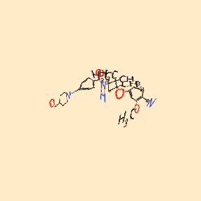 COc1cc(OC2(C)CC(C)(NC(=O)c3ccc(N4CCC(C=O)CC4)cc3)C2(C)C)ccc1C#N